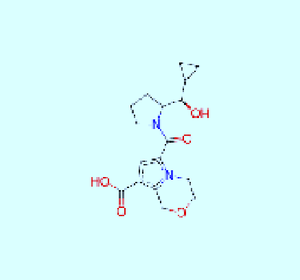 O=C(O)c1cc(C(=O)N2CCCC2[C@H](O)C2CC2)n2c1COCC2